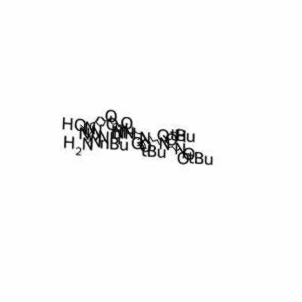 CCCCNc1nc(N)c2nc(O)n(Cc3ccc(C(=O)OC[C@H](N)C(=O)NCCCN(CCCCN(CCCNC(=O)OC(C)(C)C)C(=O)OC(C)(C)C)C(=O)OC(C)(C)C)cc3)c2n1